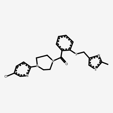 Cc1nc(CSc2ccccc2C(=O)N2CCN(c3ccc(Cl)cn3)CC2)cs1